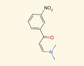 CN(C)/C=C\C(=O)c1cccc([N+](=O)[O-])c1